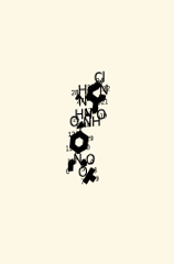 CCN(C(=O)OC(C)(C)C)[C@H]1CC[C@H](C(=O)NNC(=O)c2cnc(Cl)cc2NC)CC1